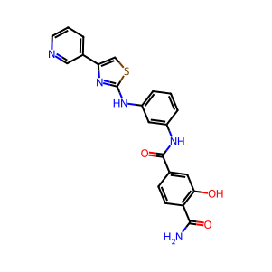 NC(=O)c1ccc(C(=O)Nc2cccc(Nc3nc(-c4cccnc4)cs3)c2)cc1O